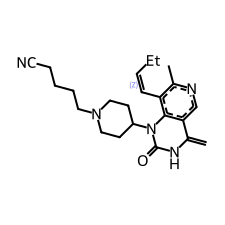 C=C1NC(=O)N(C2CCN(CCCCC#N)CC2)c2c1cnc(C)c2/C=C\CC